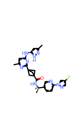 Cc1cc(Nc2cc(C)nc(C34CC(C(=O)N[C@H](C)c5ccc(-n6cc(F)cn6)nc5)(C3)C4)n2)[nH]n1